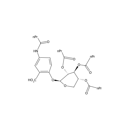 CCCC(=O)Nc1ccc(O[C@@H]2OC[C@@H](OC(=O)CCC)[C@H](OC(=O)CCC)[C@H]2OC(=O)CCC)c(C(=O)O)c1